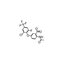 CC(=O)Nc1ccc(Oc2c(F)cc(C(F)(F)F)cc2Cl)cc1[N+](=O)[O-]